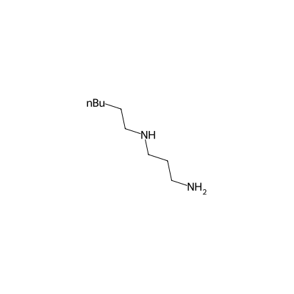 CCCCCCNCCCN